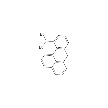 CCC(CC)c1cccc2c1-c1cccc3cccc(c13)C2